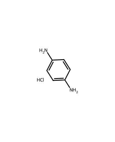 Cl.Nc1ccc(N)cc1